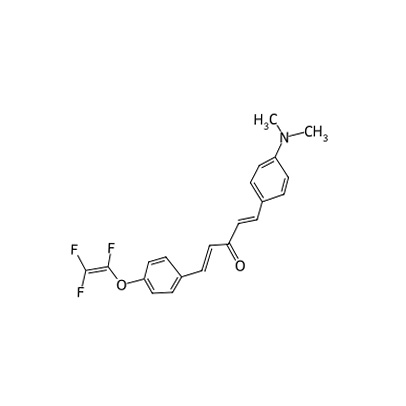 CN(C)c1ccc(C=CC(=O)C=Cc2ccc(OC(F)=C(F)F)cc2)cc1